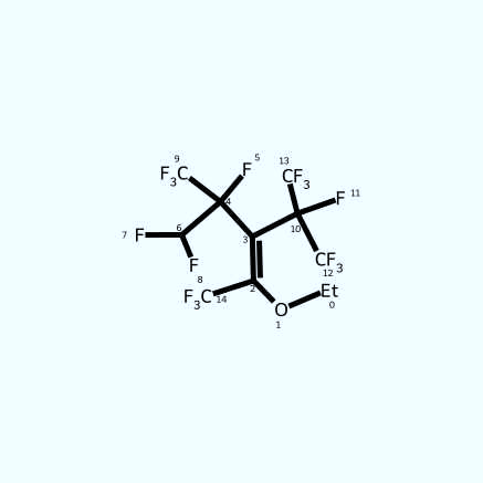 CCOC(=C(C(F)(C(F)F)C(F)(F)F)C(F)(C(F)(F)F)C(F)(F)F)C(F)(F)F